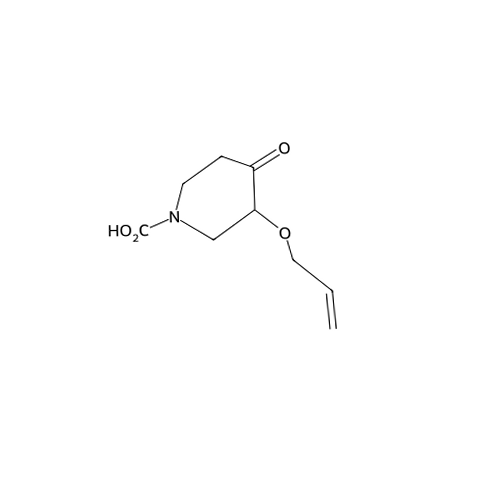 C=CCOC1CN(C(=O)O)CCC1=O